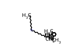 CCCCCCCC/C=C\CCCCCCCCC(C)(C)C(=O)Nc1c(C)cccc1OC